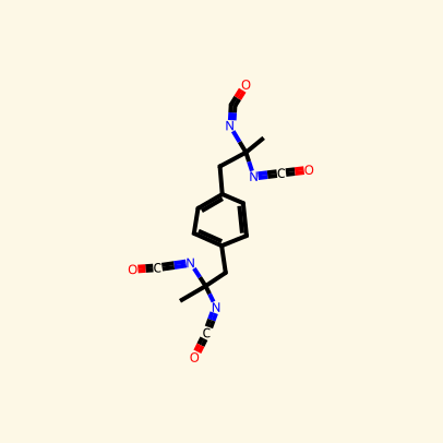 CC(Cc1ccc(CC(C)(N=C=O)N=C=O)cc1)(N=C=O)N=C=O